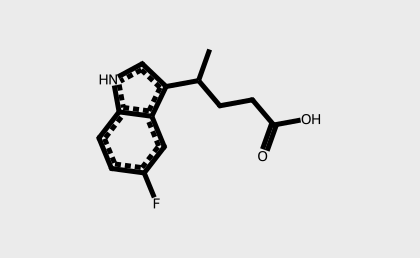 CC(CCC(=O)O)c1c[nH]c2ccc(F)cc12